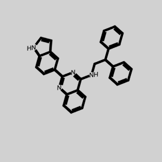 c1ccc(C(CNc2nc(-c3ccc4[nH]ccc4c3)nc3ccccc23)c2ccccc2)cc1